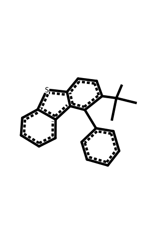 CC(C)(C)c1ccc2sc3ccccc3c2c1-c1ccccc1